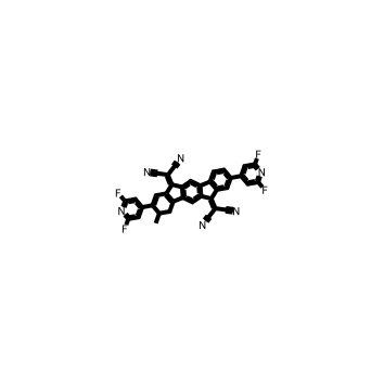 CC1CC2=C(C=C1c1cc(F)nc(F)c1)C(=C(C#N)C#N)c1cc3c(cc12)C(=C(C#N)C#N)c1cc(-c2cc(F)nc(F)c2)ccc1-3